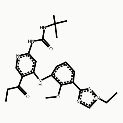 CCC(=O)c1cnc(NC(=O)NC(C)(C)C)cc1Nc1cccc(-c2ncn(CC)n2)c1OC